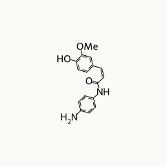 COc1cc(/C=C\C(=O)Nc2ccc(N)cc2)ccc1O